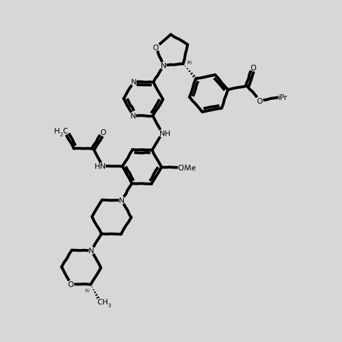 C=CC(=O)Nc1cc(Nc2cc(N3OCC[C@@H]3c3cccc(C(=O)OC(C)C)c3)ncn2)c(OC)cc1N1CCC(N2CCO[C@@H](C)C2)CC1